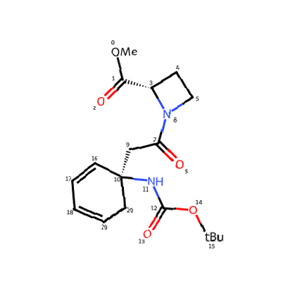 COC(=O)[C@@H]1CCN1C(=O)C[C@@]1(NC(=O)OC(C)(C)C)C=CC=CC1